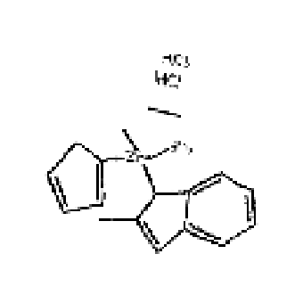 CC.CC1=Cc2ccccc2[CH]1[Zr]([CH3])([SiH3])[C]1=CC=CC1.Cl.Cl